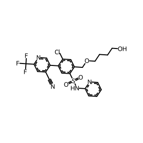 N#Cc1cc(C(F)(F)F)ncc1-c1cc(S(=O)(=O)Nc2ccccn2)c(COCCCCO)cc1Cl